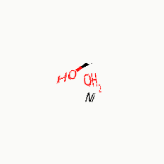 O.[CH2]O.[Ni]